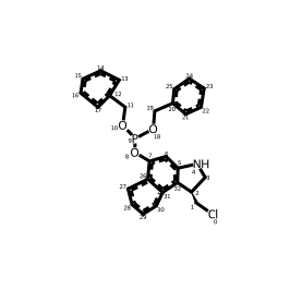 ClC[C@@H]1CNc2cc(OP(OCc3ccccc3)OCc3ccccc3)c3ccccc3c21